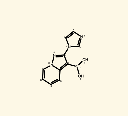 ON(O)c1c(-n2ccnc2)nn2ccccc12